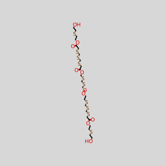 O=C(CSCSCSCCOOCSCSCOC(=O)CSCSCSCC(=O)OCCSCCO)OCCSCCO